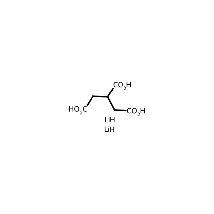 O=C(O)CC(CC(=O)O)C(=O)O.[LiH].[LiH]